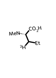 [2H]C(CC)[C@H](NC)C(=O)O